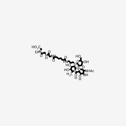 CCN(CC(=O)O)C(=O)CNC(=O)CNC(=O)CCCCC(=O)NCCCO[C@@H]1OC(CO)[C@H](O)C(O[C@H]2OC(CO)[C@H](O)[C@H](O)C2NC(C)=O)[C@@H]1O[C@H]1C[C@@H](O)[C@H](O)C(C)O1